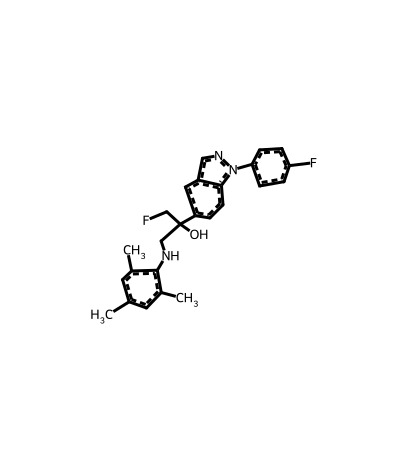 Cc1cc(C)c(NCC(O)(CF)c2ccc3c(cnn3-c3ccc(F)cc3)c2)c(C)c1